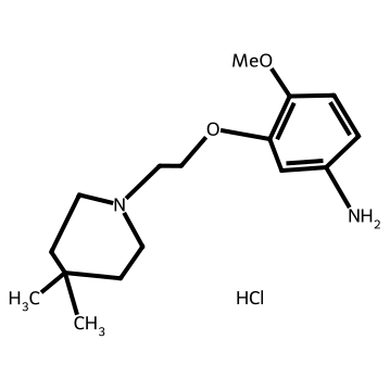 COc1ccc(N)cc1OCCN1CCC(C)(C)CC1.Cl